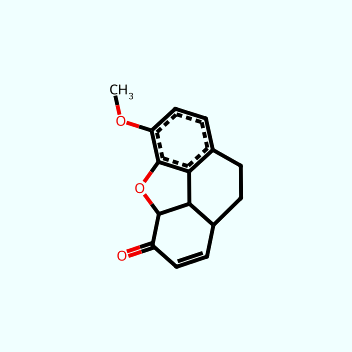 COc1ccc2c3c1OC1C(=O)C=CC(CC2)C31